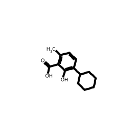 Cc1ccc(C2CCCCC2)c(O)c1C(=O)O